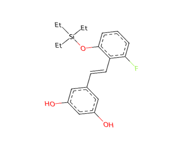 CC[Si](CC)(CC)Oc1cccc(F)c1C=Cc1cc(O)cc(O)c1